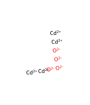 [Cd+2].[Cd+2].[Cd+2].[Cd+2].[O-2].[O-2].[O-2].[O-2]